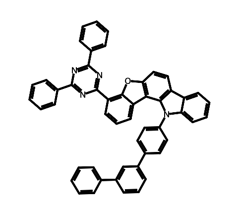 c1ccc(-c2cccc(-c3ccc(-n4c5ccccc5c5ccc6oc7c(-c8nc(-c9ccccc9)nc(-c9ccccc9)n8)cccc7c6c54)cc3)c2)cc1